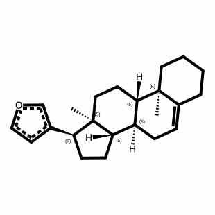 C[C@]12CC[C@H]3[C@@H](CC=C4CCCC[C@@]43C)[C@@H]1CC[C@H]2c1ccoc1